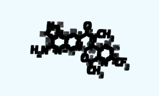 C[C@H]1OC[C@@H](N(C)C(=O)c2cc3c(cn2)nc(N)c2cncn23)c2ccc(C(F)(F)F)nc21